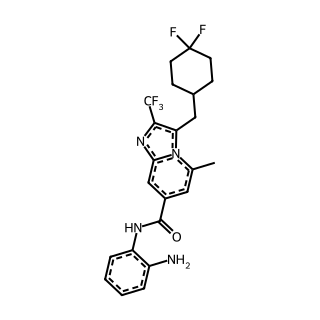 Cc1cc(C(=O)Nc2ccccc2N)cc2nc(C(F)(F)F)c(CC3CCC(F)(F)CC3)n12